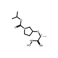 CC(C)OC(=O)N1CCC(O[C@H](C)C(=N)NO)C1